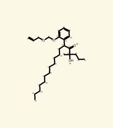 C=CCOCOc1ccccc1C(CCCCCCCCCCCC)C(=O)C(C)(O)CCC